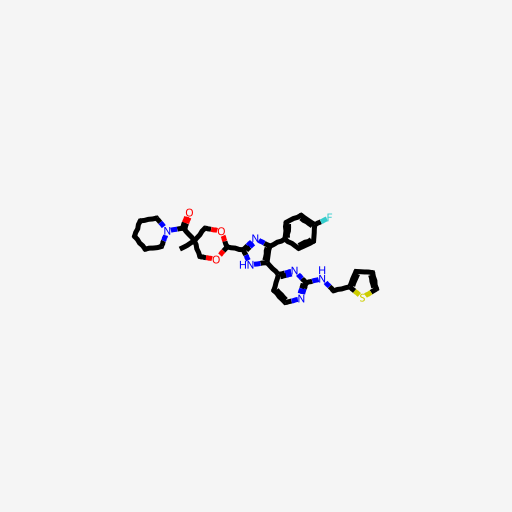 CC1(C(=O)N2CCCCC2)COC(c2nc(-c3ccc(F)cc3)c(-c3ccnc(NCc4cccs4)n3)[nH]2)OC1